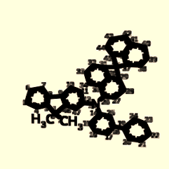 CC1(C)c2ccccc2-c2ccc(N(c3cccc(-c4ccccc4)c3)c3ccc4c5c(cccc35)C43c4cccc5cccc3c45)cc21